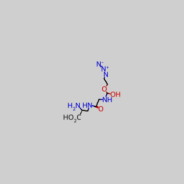 [N-]=[N+]=NCCOC(O)NCC(=O)NC[C@H](N)C(=O)O